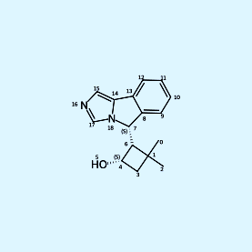 CC1(C)C[C@H](O)C1[C@H]1c2ccccc2-c2cncn21